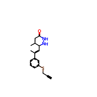 C#CCSc1cccc(/C(C)=C/C2NNC(=O)CC2C)c1